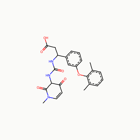 Cc1cccc(C)c1Oc1cccc(C(CC(=O)O)NC(=O)NC2C(=O)C=CN(C)C2=O)c1